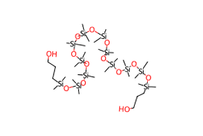 C[Si](C)(CCCO)O[Si](C)(C)O[Si](C)(C)O[Si](C)(C)O[Si](C)(C)O[Si](C)(C)O[Si](C)(C)O[Si](C)(C)O[Si](C)(C)O[Si](C)(C)O[Si](C)(C)O[Si](C)(C)CCCO